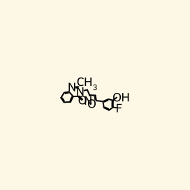 Cc1nc2ccccc2c(=O)n1Cc1cc(-c2ccc(F)c(O)c2)on1